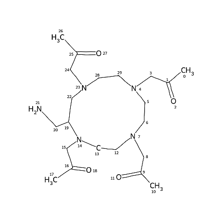 CC(=O)CN1CCN(CC(C)=O)CCN(CC(C)=O)C(CN)CN(CC(C)=O)CC1